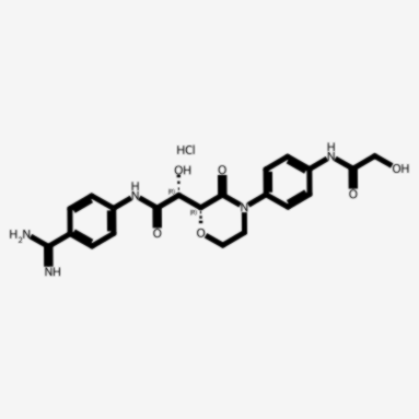 Cl.N=C(N)c1ccc(NC(=O)[C@H](O)[C@H]2OCCN(c3ccc(NC(=O)CO)cc3)C2=O)cc1